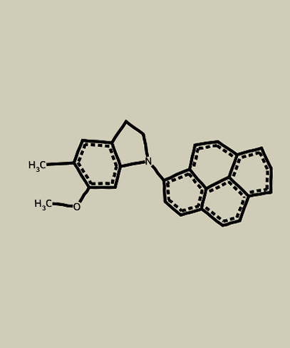 COc1cc2c(cc1C)CCN2c1ccc2ccc3cccc4ccc1c2c34